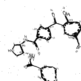 O=C(N[C@@H]1CNC[C@H]1NC(=O)c1ccc(C(=O)c2cc(Br)ccc2O)cc1)c1ccncc1